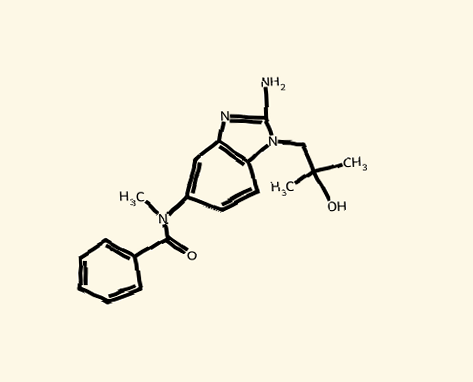 CN(C(=O)c1ccccc1)c1ccc2c(c1)nc(N)n2CC(C)(C)O